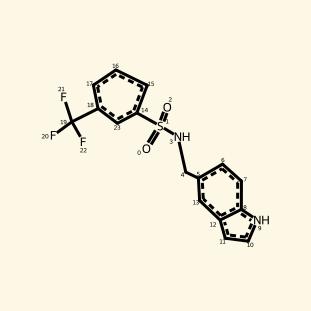 O=S(=O)(NCc1ccc2[nH]ccc2c1)c1cccc(C(F)(F)F)c1